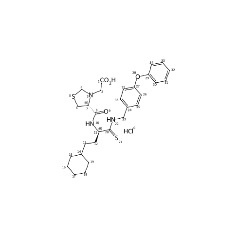 Cl.O=C(O)CN1CSC[C@H]1C(=O)N[C@H](CCC1CCCCC1)C(=S)NCc1ccc(Oc2ccccc2)cc1